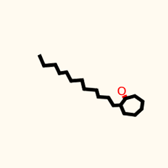 CCCCCCCCCCCCC1CCCCCC1=O